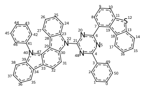 c1ccc(-c2nc(-c3cccc4sc5ccccc5c34)nc(-n3c4ccccc4c4c3ccc3c5ccccc5n(-c5ccccc5)c34)n2)cc1